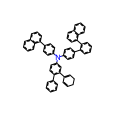 C1=CC(c2cc(N(c3ccc(-c4ccccc4-c4cccc5ccccc45)cc3)c3ccc(-c4cccc5ccccc45)cc3)ccc2-c2ccccc2)=CCC1